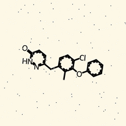 Cc1c(Cc2ccc(=O)[nH]n2)ccc(Cl)c1Oc1ccccc1